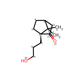 CC1(C)C2CC[C@@]1(CCCO)C(=O)C2